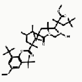 COC(=O)C(C)(CC(C)(C)C)C(C)C(C)(C)CC(C)(C(=O)OCCO)C(C)C(C)CC(C)(C(=O)Oc1c(C(C)(C)C)cc(OC)cc1C(C)(C)C)C(C)C